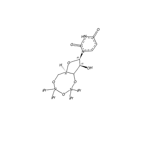 CC(C)[Si]1(C(C)C)OC[C@H]2O[C@@H](n3ccc(=O)[nH]c3=O)[C@@H](O)C2O[Si](C(C)C)(C(C)C)O1